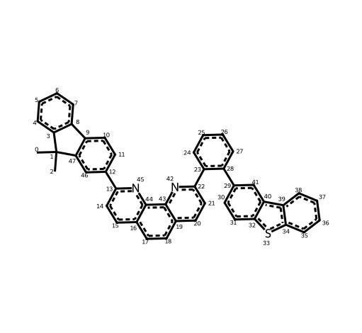 CC1(C)c2ccccc2-c2ccc(-c3ccc4ccc5ccc(-c6ccccc6-c6ccc7sc8ccccc8c7c6)nc5c4n3)cc21